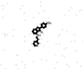 CC(C)(C)c1ccc(C2Cc3cccc(NCCc4cccnc4)c3C2=O)cc1